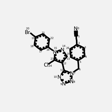 N#Cc1ccc(Cn2nnnc2-c2cnn(-c3ccc(Br)cc3)c2Cl)cc1